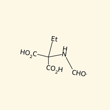 CCC(N[C]=O)(C(=O)O)C(=O)O